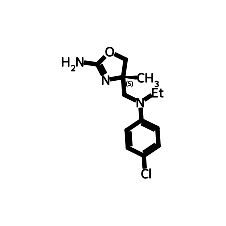 CCN(C[C@@]1(C)COC(N)=N1)c1ccc(Cl)cc1